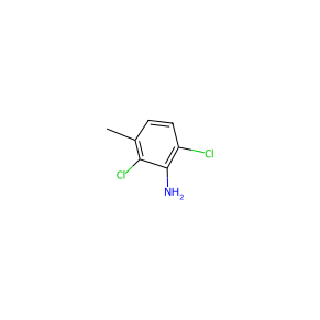 Cc1ccc(Cl)c(N)c1Cl